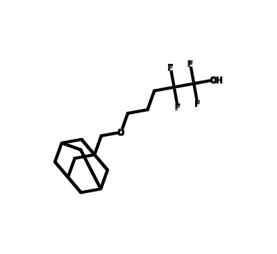 OC(F)(F)C(F)(F)CCCOCC12CC3CC(CC(C3)C1)C2